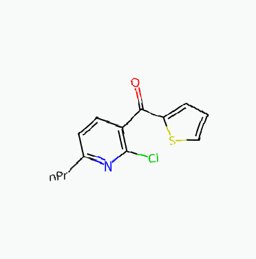 CCCc1ccc(C(=O)c2cccs2)c(Cl)n1